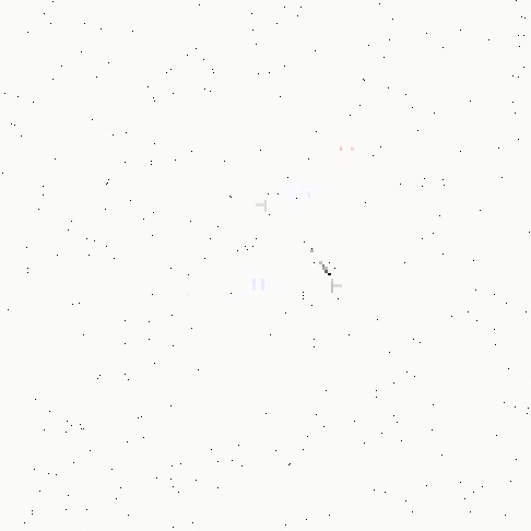 Cc1cccc2c1C(=O)N[C@@H]1CN(CCc3ccccc3)C[C@@H]21